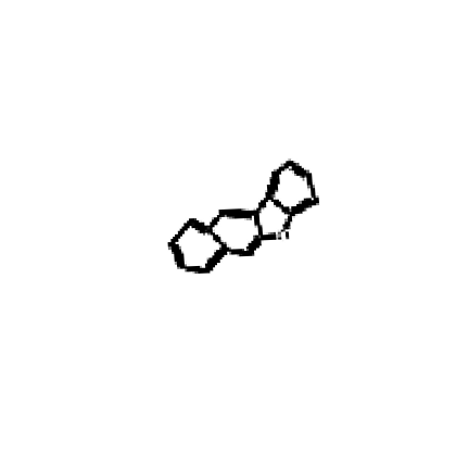 c1ccc2cc3c(cc2c1)oc1ccccc13